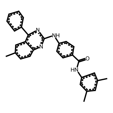 Cc1cc(C)cc(NC(=O)c2ccc(Nc3nc(-c4ccccc4)c4cc(C)ccc4n3)cc2)c1